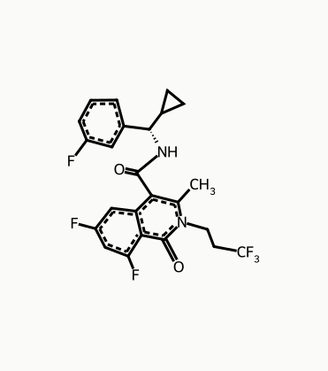 Cc1c(C(=O)N[C@H](c2cccc(F)c2)C2CC2)c2cc(F)cc(F)c2c(=O)n1CCC(F)(F)F